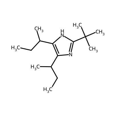 CCC(C)c1nc(C(C)(C)C)[nH]c1C(C)CC